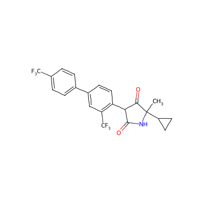 CC1(C2CC2)NC(=O)C(c2ccc(-c3ccc(C(F)(F)F)cc3)cc2C(F)(F)F)C1=O